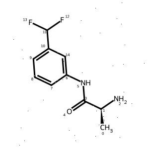 C[C@H](N)C(=O)Nc1cccc(C(F)F)c1